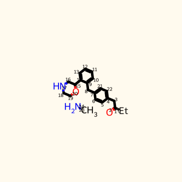 CCC(=O)Cc1ccc(Cc2ccccc2C2CNCCO2)cc1.CN